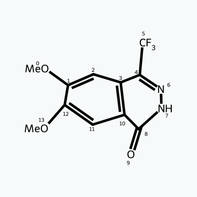 COc1cc2c(C(F)(F)F)n[nH]c(=O)c2cc1OC